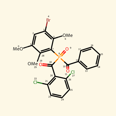 COc1cc(Br)c(OC)c(P(=O)(C(=O)c2ccccc2)C(=O)c2c(Cl)cccc2Cl)c1OC